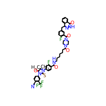 CC1(C)C(=O)N(c2ccc(C#N)c(C(F)(F)F)c2)C(=S)N1c1ccc(C(=O)NCCCCCCC(=O)N2CCN(C(=O)c3cc(Cc4n[nH]c(=O)c5ccccc45)ccc3F)CC2)c(F)c1